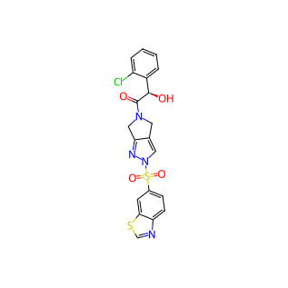 O=C([C@H](O)c1ccccc1Cl)N1Cc2cn(S(=O)(=O)c3ccc4ncsc4c3)nc2C1